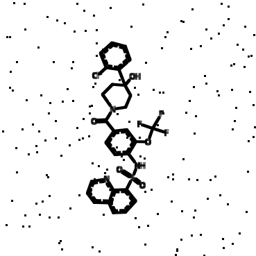 O=C(c1ccc(NS(=O)(=O)c2cccc3cccnc23)c(OC(F)(F)F)c1)N1CCC(O)(c2ccccc2Cl)CC1